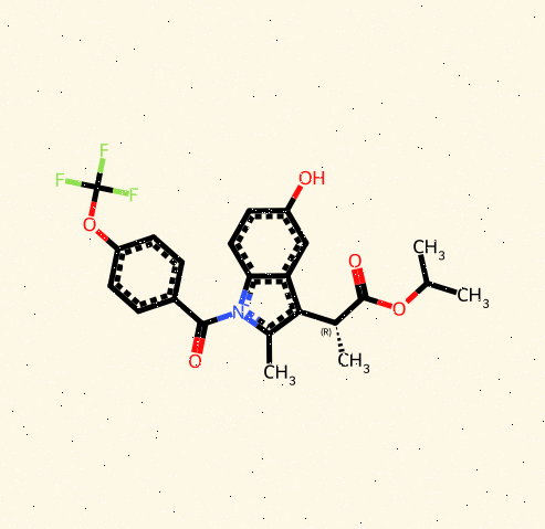 Cc1c([C@@H](C)C(=O)OC(C)C)c2cc(O)ccc2n1C(=O)c1ccc(OC(F)(F)F)cc1